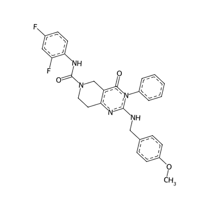 COc1ccc(CNc2nc3c(c(=O)n2-c2ccccc2)CN(C(=O)Nc2ccc(F)cc2F)CC3)cc1